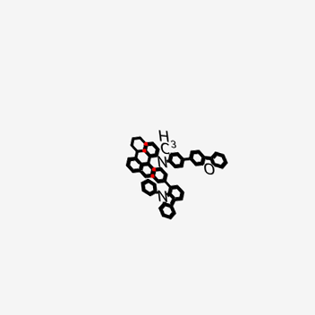 Cc1cc(-c2ccc3c(c2)oc2ccccc23)ccc1N(c1cccc(-c2cccc3c4ccccc4n(-c4ccccc4)c23)c1)c1ccccc1-c1cccc2cccc(C3CCCCC3)c12